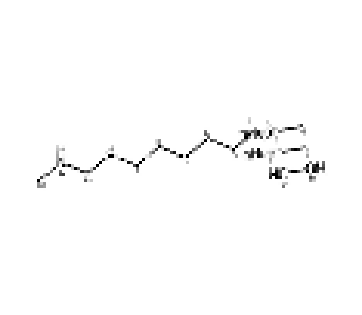 CCCCCCCC.CCCCCCCC.CCCCCCCCNC.N#CO